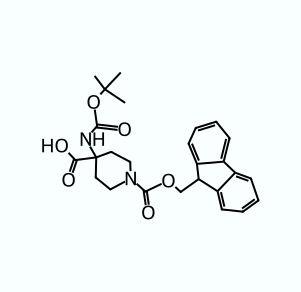 CC(C)(C)OC(=O)NC1(C(=O)O)CCN(C(=O)OCC2c3ccccc3-c3ccccc32)CC1